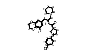 O=C(NC(Cc1cc(F)c2c(c1)OCCO2)CN1CCCCC1)C1CCN(c2ccc(Cl)cc2)C1